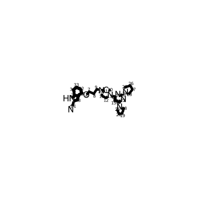 N#Cc1cc2c(OCCCN3CCN(c4cc(N5CCCC5)nc(N5CCCC5)n4)CC3)cccc2[nH]1